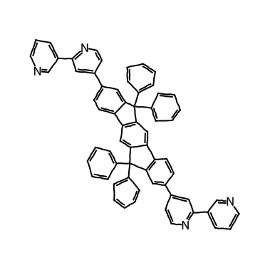 c1ccc(C2(c3ccccc3)c3cc(-c4ccnc(-c5cccnc5)c4)ccc3-c3cc4c(cc32)-c2ccc(-c3ccnc(-c5cccnc5)c3)cc2C4(c2ccccc2)c2ccccc2)cc1